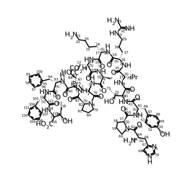 CC(C)C[C@H](NC(=O)[C@H](C)NC(=O)[C@H](CC(=O)O)NC(=O)[C@H](CCCCN)NC(=O)[C@H](CCCNC(=N)N)NC(=O)[C@@H](NC(=O)[C@@H](NC(=O)[C@H](Cc1ccc(O)cc1)NC(=O)[C@@H]1CCCN1C(=O)[C@@H](N)Cc1c[nH]cn1)[C@@H](C)O)C(C)C)C(=O)N1CCC[C@H]1C(=O)N[C@@H](CCC(=O)O)C(=O)N[C@@H](Cc1ccccc1)C(=O)N[C@@H](Cc1ccccc1)C(=O)N[C@H](C(=O)O)[C@@H](C)O